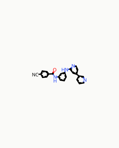 N#Cc1ccc(C(=O)Nc2cccc(Nc3cc(-c4cccnc4)ccn3)c2)cc1